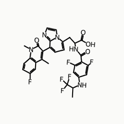 Cc1c(-c2ccc(CC(NC(=O)c3c(F)cc(NC(C)C(F)(F)F)cc3F)C(=O)O)n3ccnc23)c(=O)n(C)c2ccc(F)cc12